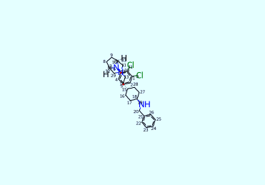 Clc1cccc(N2[C@@H]3CC[C@H]2CN(CC[C@H]2CC[C@H](NCc4ccccc4)CC2)C3)c1Cl